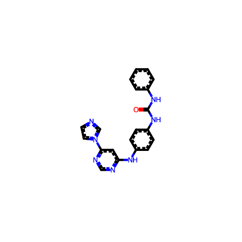 O=C(Nc1ccccc1)Nc1ccc(Nc2cc(-n3ccnc3)ncn2)cc1